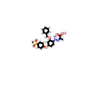 C/C(=N/Nc1ccc(Oc2ccc(S(C)(=O)=O)cc2)cc1OCc1ccccc1)C(=O)O